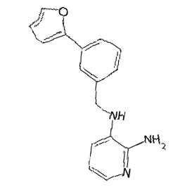 Nc1ncccc1NCc1cccc(-c2ccco2)c1